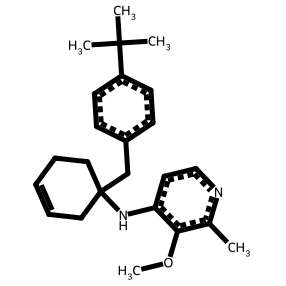 COc1c(NC2(Cc3ccc(C(C)(C)C)cc3)CC=CCC2)ccnc1C